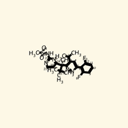 CC(C)c1cc(-c2c(F)cccc2F)nnc1[C@](C)(c1ccnc(NS(C)(=O)=O)n1)C(C)(C)C